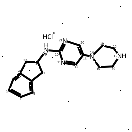 Cl.c1ccc2c(c1)CC(Nc1ncc(N3CCNCC3)cn1)C2